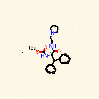 CC(C)(C)OC(=O)N[C@H](C(=O)NCCN1CCCC1)C(c1ccccc1)c1ccccc1